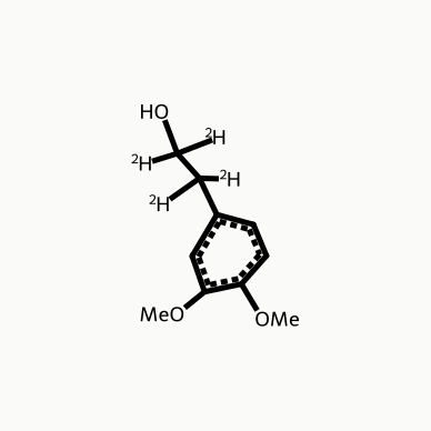 [2H]C([2H])(O)C([2H])([2H])c1ccc(OC)c(OC)c1